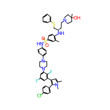 Cc1cc(S(=O)(=O)Nc2ccc(N3CCN(c4cc(F)cc(-c5cc(C)n(C)c5-c5ccc(Cl)cc5)c4F)CC3)cc2)ccc1N[C@H](CCN1CCC(C)(O)CC1)CSc1ccccc1